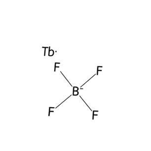 F[B-](F)(F)F.[Tb]